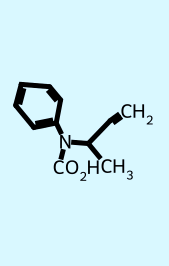 C=CC(C)N(C(=O)O)c1ccccc1